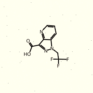 O=C(O)c1nn(CC(F)(F)F)c2cccnc12